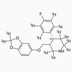 [2H]c1c([2H])c([C@H]2C(COc3ccc4c(c3)OC([2H])([2H])O4)C([2H])([2H])NC([2H])([2H])C2([2H])[2H])c([2H])c([2H])c1F